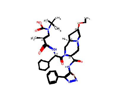 CCO[C@@H]1C[C@@H]2CN(C(=O)[C@@H](NC(=O)[C@@H](C)CN(C(=O)O)C(C)(C)C)C3CCCCC3)[C@H](C(=O)Nc3snnc3-c3ccccc3)CN2C1